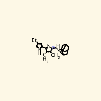 CCc1c[nH]c(C2=N/C(=C/NC34CC5CC(CC(C5)C3)C4)C(C)=C2C)c1